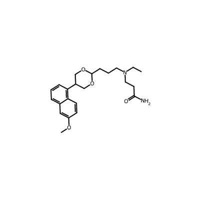 CCN(CCCC1OCC(c2cccc3cc(OC)ccc23)CO1)CCC(N)=O